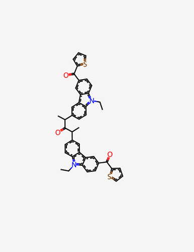 CCn1c2ccc(C(=O)c3cccs3)cc2c2cc(C(C)C(=O)C(C)c3ccc4c(c3)c3cc(C(=O)c5cccs5)ccc3n4CC)ccc21